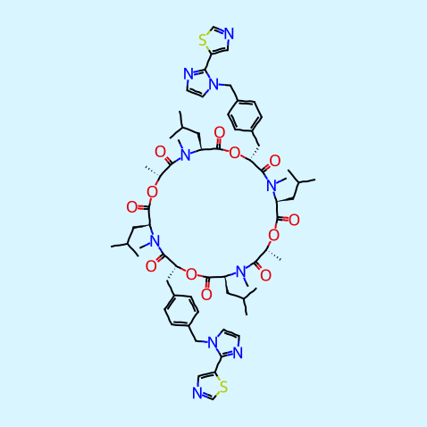 CC(C)C[C@H]1C(=O)O[C@H](Cc2ccc(Cn3ccnc3-c3cncs3)cc2)C(=O)N(C)[C@@H](CC(C)C)C(=O)O[C@H](C)C(=O)N(C)[C@@H](CC(C)C)C(=O)O[C@H](Cc2ccc(Cn3ccnc3-c3cncs3)cc2)C(=O)N(C)[C@@H](CC(C)C)C(=O)O[C@H](C)C(=O)N1C